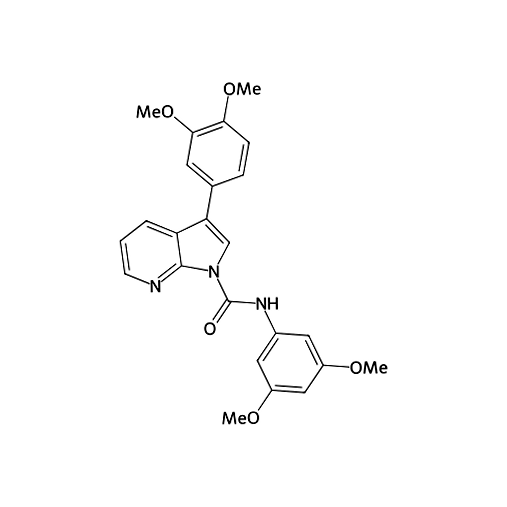 COc1cc(NC(=O)n2cc(-c3ccc(OC)c(OC)c3)c3cccnc32)cc(OC)c1